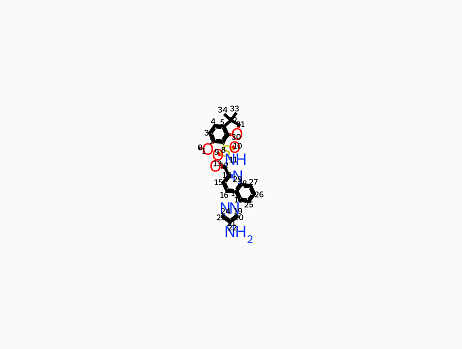 COc1ccc2c(c1S(=O)(=O)NC(=O)c1ccc3c(-n4cc(N)cn4)cccc3n1)OCC2(C)C